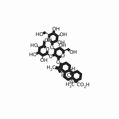 C=C1C[C@@]23CC[C@@H]4C(C)(C(=O)O)CCCC4(C)[C@@H]2CCC1(OC1O[C@H](CO)C(O)[C@H](OC2O[C@H](CO)C(O)[C@H](O)C2O)C1O[C@@H]1OC(CO)[C@@H](O)C(O)[C@H]1O)C3